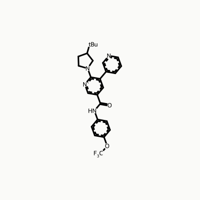 CC(C)(C)C1CCN(c2ncc(C(=O)Nc3ccc(OC(F)(F)F)cc3)cc2-c2cccnc2)C1